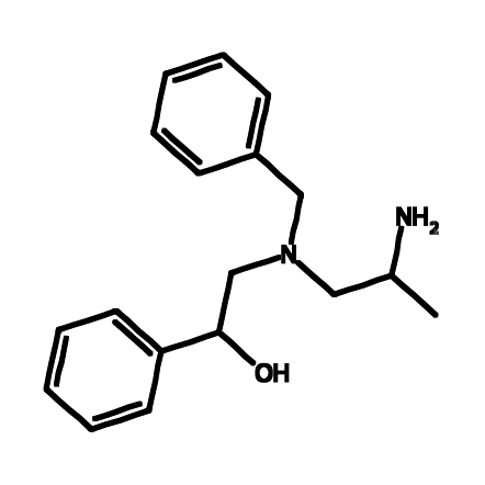 CC(N)CN(Cc1ccccc1)CC(O)c1ccccc1